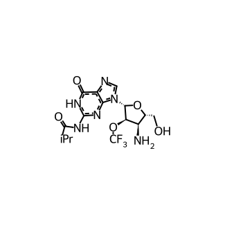 CC(C)C(=O)Nc1nc2c(ncn2[C@@H]2O[C@H](CO)[C@@H](N)[C@H]2OC(F)(F)F)c(=O)[nH]1